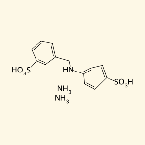 N.N.O=S(=O)(O)c1ccc(NCc2cccc(S(=O)(=O)O)c2)cc1